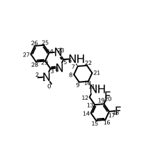 CN(C)c1nc(N[C@H]2CC[C@@H](NCc3cccc(F)c3F)CC2)nc2ccccc12